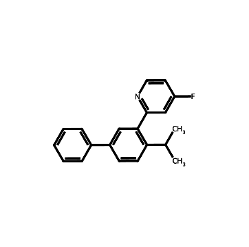 CC(C)c1ccc(-c2ccccc2)cc1-c1cc(F)ccn1